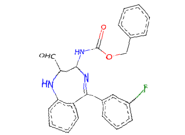 O=CC1Nc2ccccc2C(c2cccc(F)c2)=NC1NC(=O)OCc1ccccc1